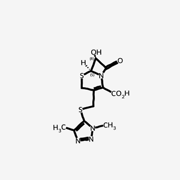 Cc1nnn(C)c1SCC1=C(C(=O)O)N2C(=O)[C@@H](O)[C@@H]2SC1